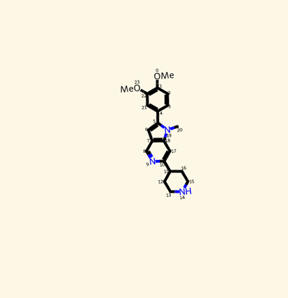 COc1ccc(-c2cc3cnc(C4CCNCC4)cc3n2C)cc1OC